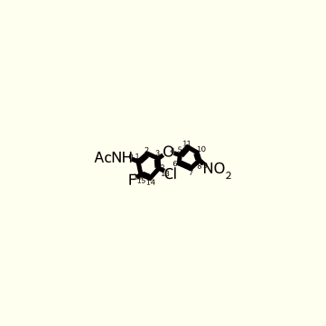 CC(=O)Nc1cc(Oc2ccc([N+](=O)[O-])cc2)c(Cl)cc1F